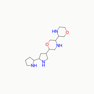 C1CNC(C2CC(C3CNC(C4COCCN4)CO3)CN2)C1